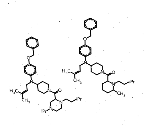 CC(C)=CCN(c1ccc(OCc2ccccc2)cc1)C1CCN(C(=O)C2CCCC(C)N2CCC(C)C)CC1.CC(C)=CCN(c1ccc(OCc2ccccc2)cc1)C1CCN(C(=O)C2CN(C(C)C)CCN2CCC(C)C)CC1